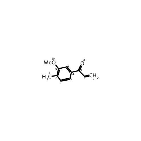 C=CC(=O)c1ccc(C)c(OC)c1